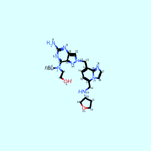 CCCCN(CCO)c1nc(N)nc2cn(Cc3ccc(CN[C@@H]4CCOC4)n4ccnc34)nc12